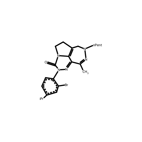 CCCCCN1CC2=C3C(=NN(c4ccc(C(C)C)cc4Br)C(=O)N3CC2)C(C)=N1